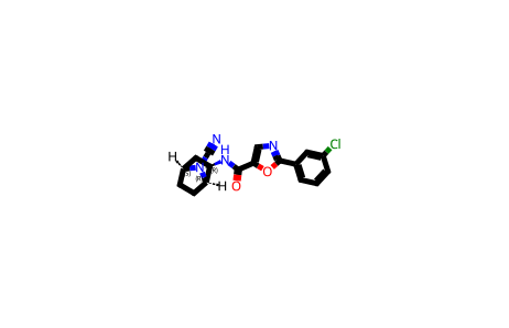 N#CN1[C@H]2CC[C@@H]1[C@H](NC(=O)c1cnc(-c3cccc(Cl)c3)o1)C2